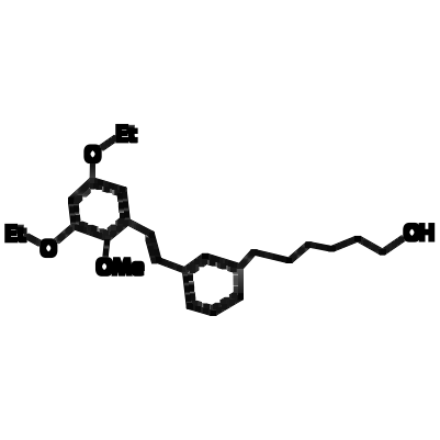 CCOc1cc(C=Cc2cccc(CCCCCCO)c2)c(OC)c(OCC)c1